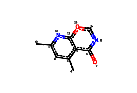 Cc1cc(C)c2c(=O)ncoc2n1